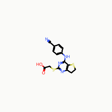 N#Cc1ccc(Nc2nc(SCC(=O)O)nc3c2SCC3)cc1